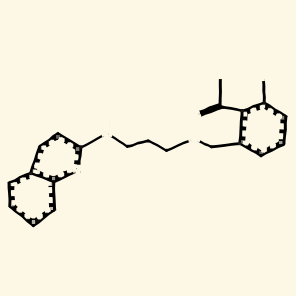 Cc1cccc(COCCCNc2ccc3ccccc3n2)c1C(=O)O